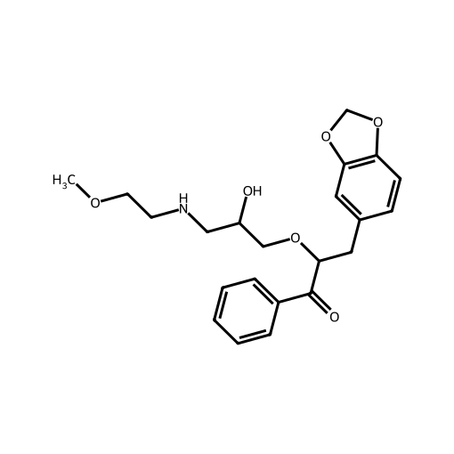 COCCNCC(O)COC(Cc1ccc2c(c1)OCO2)C(=O)c1ccccc1